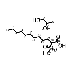 CC(O)CO.CCCCCCCCCCC(C(=O)O)S(=O)(=O)O